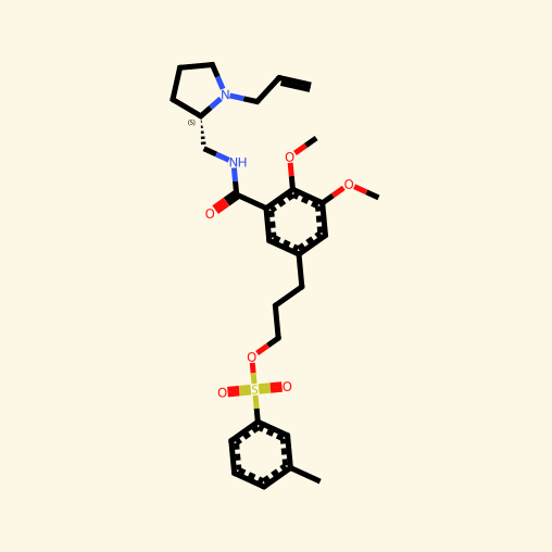 C=CCN1CCC[C@H]1CNC(=O)c1cc(CCCOS(=O)(=O)c2cccc(C)c2)cc(OC)c1OC